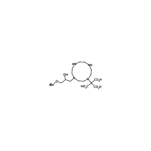 CC(C)(C)OCC(O)CN1CCNCCNCCN(C(C(=O)O)(C(=O)O)C(=O)O)CC1